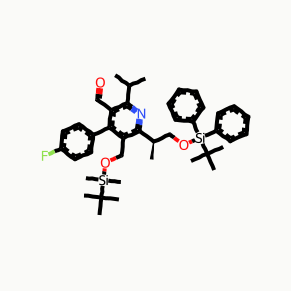 CC(C)c1nc([C@H](C)CO[Si](c2ccccc2)(c2ccccc2)C(C)(C)C)c(CO[Si](C)(C)C(C)(C)C)c(-c2ccc(F)cc2)c1C=O